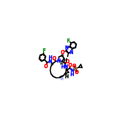 Cc1nc2cccc(F)c2nc1O[C@@H]1C[C@H]2C(=O)N[C@]3(C(=O)NS(=O)(=O)C4CC4)C[C@H]3/C=C\CCCCC[C@H](NC(=O)c3cccc(F)c3)C(=O)N2C1